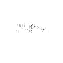 Cc1nc(N2CC(OCC(=O)O)C2)cc(-n2ncc3cc(C)c([C@H]4CCNC[C@H]4F)cc32)n1.Cl